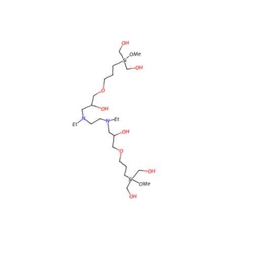 CCN(CCN(CC)CC(O)COCCC[Si](CO)(CO)OC)CC(O)COCCC[Si](CO)(CO)OC